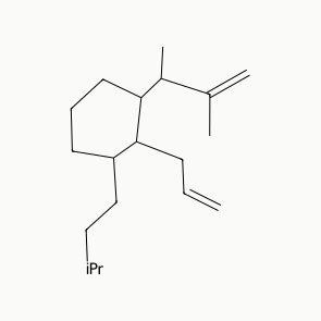 C=CCC1C(CCC(C)C)CCCC1C(C)C(=C)C